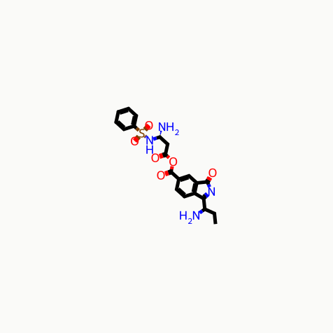 CCC(N)C1=NC(=O)c2cc(C(=O)OC(=O)C[C@@H](N)NS(=O)(=O)c3ccccc3)ccc21